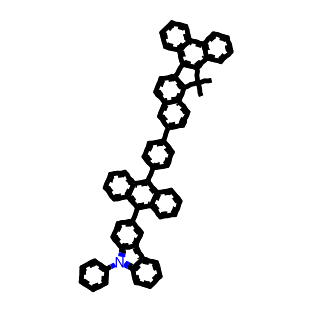 CC1(C)c2c(ccc3cc(-c4ccc(-c5c6ccccc6c(-c6ccc7c(c6)c6ccccc6n7-c6ccccc6)c6ccccc56)cc4)ccc23)-c2c1c1ccccc1c1ccccc21